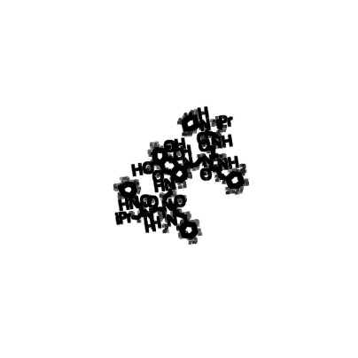 CC(C)C[C@H](NC(=O)[C@H](C)N(CCNc1ccc(NCCN(C(=O)[C@@H](N)Cc2ccccc2)[C@@H](C)C(=O)N[C@@H](CC(C)C)C(=O)Nc2ccccc2)c2c1C(=O)c1c(O)ccc(O)c1C2=O)C(=O)[C@@H](N)Cc1ccccc1)C(=O)Nc1ccccc1